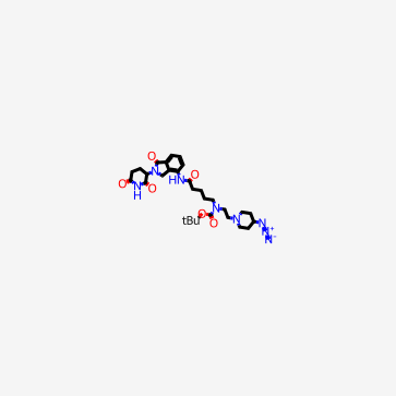 CC(C)(C)OC(=O)N(CCCCC(=O)Nc1cccc2c1CN(C1CCC(=O)NC1=O)C2=O)CCN1CCC(N=[N+]=[N-])CC1